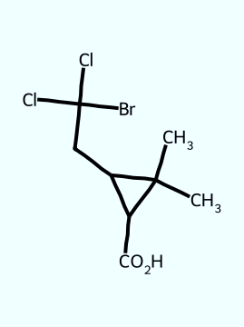 CC1(C)C(CC(Cl)(Cl)Br)C1C(=O)O